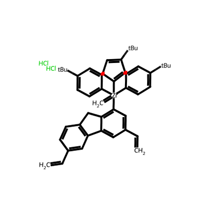 C=Cc1ccc2c(c1)-c1cc(C=C)c[c]([Zr](=[CH2])([C]3=CC(C(C)(C)C)=CC3)([c]3ccc(C(C)(C)C)cc3)[c]3ccc(C(C)(C)C)cc3)c1C2.Cl.Cl